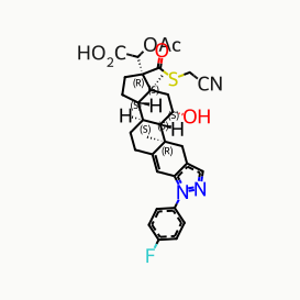 CC(=O)OC(C(=O)O)[C@@]1(C(=O)SCC#N)CC[C@H]2[C@@H]3CCC4=Cc5c(cnn5-c5ccc(F)cc5)C[C@]4(C)[C@H]3[C@@H](O)C[C@@]21C